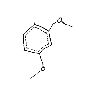 COc1[c]c[c]c(OC)c1